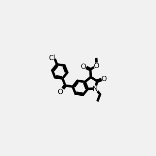 CCN1C(=O)C(C(=O)OC)c2cc(C(=O)c3ccc(Cl)cc3)ccc21